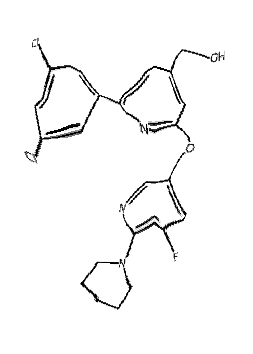 OCc1cc(Oc2cnc(N3CCCCC3)c(F)c2)nc(-c2cc(Cl)cc(Cl)c2)c1